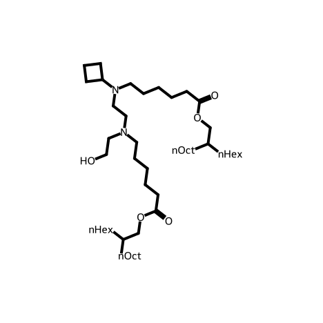 CCCCCCCCC(CCCCCC)COC(=O)CCCCCN(CCO)CCN(CCCCCC(=O)OCC(CCCCCC)CCCCCCCC)C1CCC1